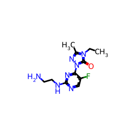 CCn1c(C)nn(-c2nc(NCCN)ncc2F)c1=O